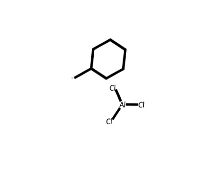 [CH2]C1CCCCC1.[Cl][Al]([Cl])[Cl]